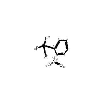 FC(F)(F)c1ccccc1.O=[NH+][O-]